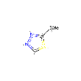 CSc1nncs1